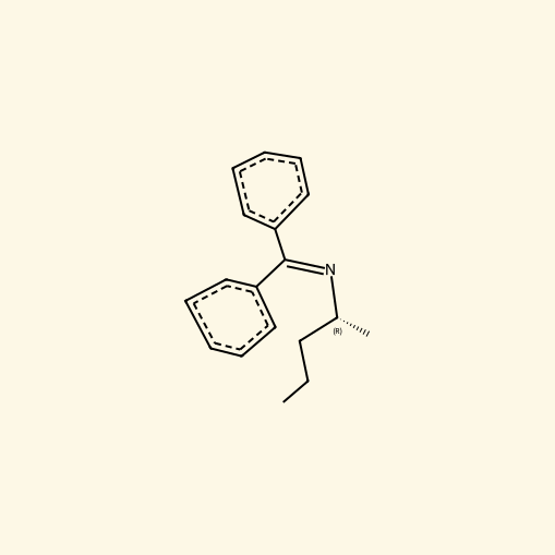 CCC[C@@H](C)N=C(c1ccccc1)c1ccccc1